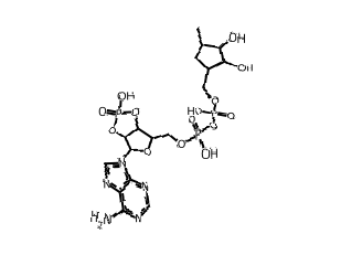 CC1CC(COP(=O)(O)OP(=O)(O)OCC2OC(n3cnc4c(N)ncnc43)C3OP(=O)(O)OC23)C(O)C1O